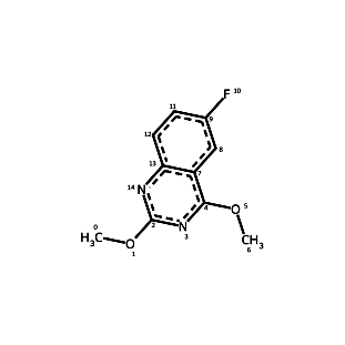 COc1nc(OC)c2cc(F)ccc2n1